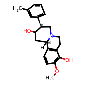 COc1ccc2c(c1O)CCN1C[C@H](c3cccc(C)c3)C(O)C[C@@H]21